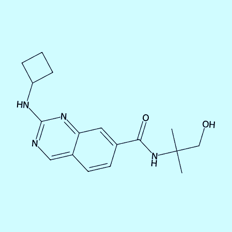 CC(C)(CO)NC(=O)c1ccc2cnc(NC3CCC3)nc2c1